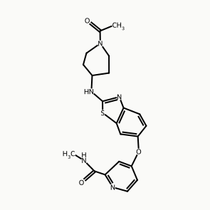 CNC(=O)c1cc(Oc2ccc3nc(NC4CCN(C(C)=O)CC4)sc3c2)ccn1